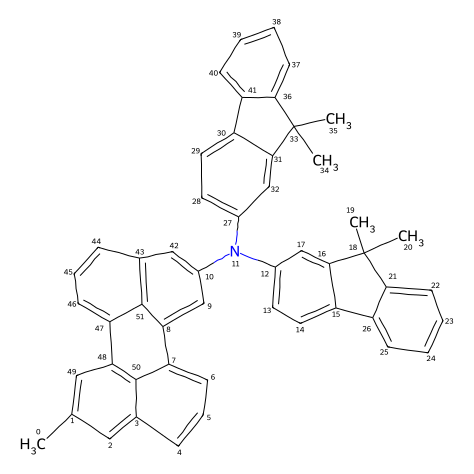 Cc1cc2cccc3c4cc(N(c5ccc6c(c5)C(C)(C)c5ccccc5-6)c5ccc6c(c5)C(C)(C)c5ccccc5-6)cc5cccc(c(c1)c23)c54